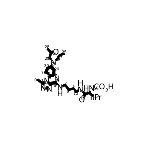 Cc1nnc2c(NCCCCNC(=O)C(NC(=O)O)C(C)C)nc3cc(N4CC(C)OC(C)C4)ccc3n12